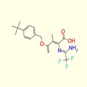 C=C(OCc1ccc(C(C)(C)C)cc1)/C(C)=C(\N=C(/N)C(F)(F)F)C(=O)O